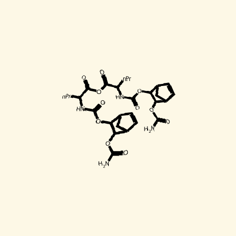 CCCC(NC(=O)OC1C2C=CC(C2)C1OC(N)=O)C(=O)OC(=O)C(CCC)NC(=O)OC1C2C=CC(C2)C1OC(N)=O